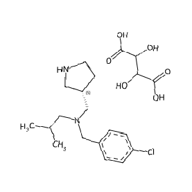 CC(C)CN(Cc1ccc(Cl)cc1)C[C@H]1CCNC1.O=C(O)C(O)C(O)C(=O)O